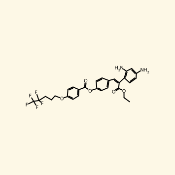 CCOC(=O)C(=Cc1ccc(OC(=O)c2ccc(OCCCC(F)(F)C(F)(F)F)cc2)cc1)c1ccc(N)cc1N